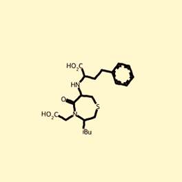 CCC(C)C1CSCC(NC(CCc2ccccc2)C(=O)O)C(=O)N1CC(=O)O